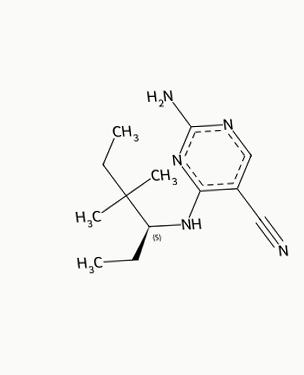 CC[C@H](Nc1nc(N)ncc1C#N)C(C)(C)CC